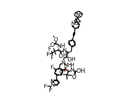 COC(=O)N[C@H](C(=O)N[C@@H](Cc1ccc(C#Cc2ccc(N3CC4CC(C3)N4C3COC3)nc2)cc1)[C@@H](O)CN(Cc1c(F)cc(-c2ccn(C(F)F)n2)cc1F)NC(=O)[C@@H](NC(=O)O)C(C)(C)C)C(C)(C)C(F)(F)F